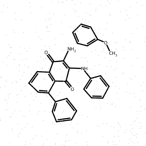 COc1ccccc1.NC1=C(Nc2ccccc2)C(=O)c2c(cccc2-c2ccccc2)C1=O